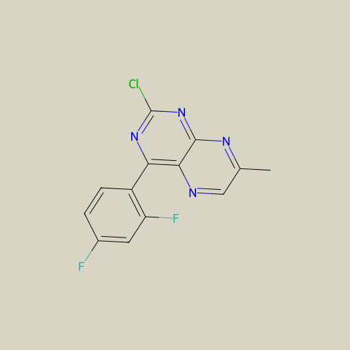 Cc1cnc2c(-c3ccc(F)cc3F)nc(Cl)nc2n1